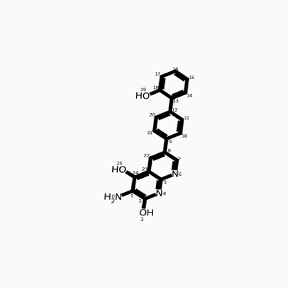 Nc1c(O)nc2ncc(-c3ccc(-c4ccccc4O)cc3)cc2c1O